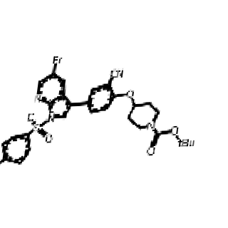 Cc1ccc(S(=O)(=O)n2cc(-c3ccc(OC4CCN(C(=O)OC(C)(C)C)CC4)c(C#N)c3)c3cc(Br)cnc32)cc1